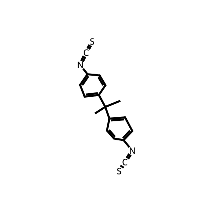 CC(C)(c1ccc(N=C=S)cc1)c1ccc(N=C=S)cc1